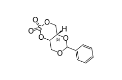 O=S1(=O)OC[C@@H]2OC(c3ccccc3)OCC2O1